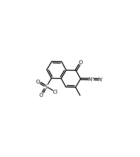 CC1=Cc2c(cccc2S(=O)(=O)Cl)C(=O)C1=[N+]=[N-]